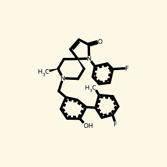 Cc1ccc(F)cc1-c1cc(CN2CC[C@]3(C=CC(=O)N3c3cccc(F)c3)C[C@@H]2C)ccc1O